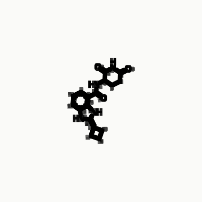 O=C1CCC(NC(=O)c2cccc3c2NC(=C2CCC2)N3)C(=O)N1